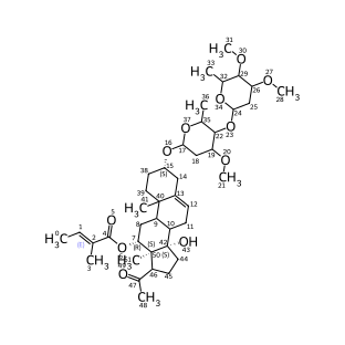 C/C=C(\C)C(=O)O[C@@H]1CC2C(CC=C3C[C@@H](OC4CC(OC)C(OC5CC(OC)C(OC)C(C)O5)C(C)O4)CCC32C)[C@@]2(O)CCC(C(C)=O)[C@@]12C